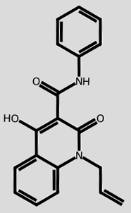 C=CCn1c(=O)c(C(=O)Nc2ccccc2)c(O)c2ccccc21